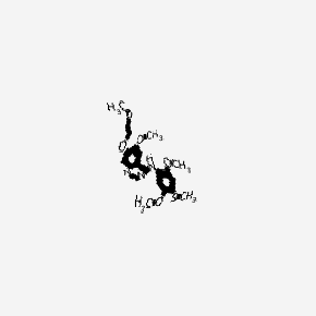 COCCOc1cc2ncnc(Nc3cc(OC)c(SC)cc3OC)c2cc1OC